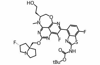 CN1c2nc(OC[C@@]34CCCN3C[C@H](F)C4)nc3c(F)c(-c4ccc(F)c5sc(NC(=O)OC(C)(C)C)nc45)nc(c23)OC[C@@H]1CCO